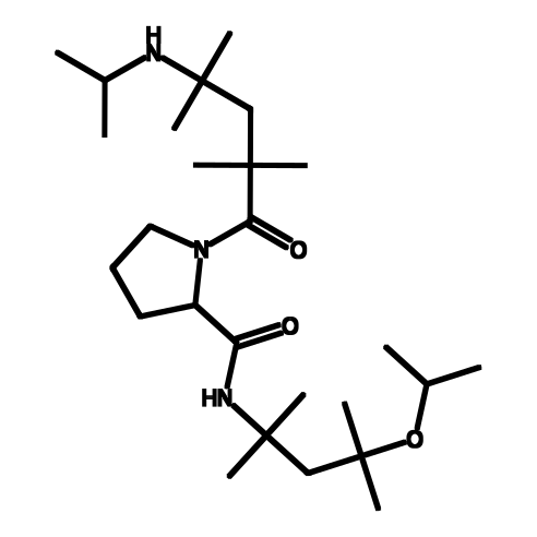 CC(C)NC(C)(C)CC(C)(C)C(=O)N1CCCC1C(=O)NC(C)(C)CC(C)(C)OC(C)C